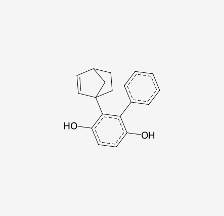 Oc1ccc(O)c(C23C=CC(CC2)C3)c1-c1ccccc1